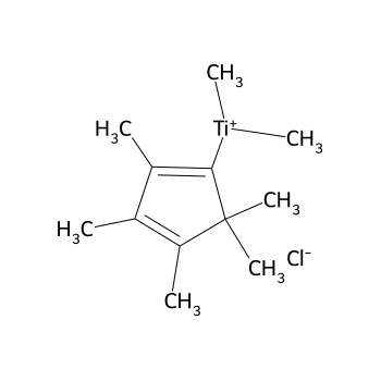 CC1=C(C)C(C)(C)[C]([Ti+]([CH3])[CH3])=C1C.[Cl-]